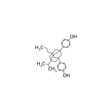 CCCC12CC3(c4ccc(O)cc4)CC(c4ccc(O)cc4)(C1)CC(C(C)C)(C2)C3